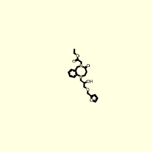 CCOC(=O)CN1Cc2ccccc2N(CC(O)COCc2ccco2)CCC1=O